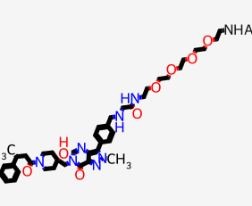 CC(=O)NCCOCCOCCOCCOCCNC(=O)CNCc1ccc(-c2c3ncn(CC4(O)CCN(C(=O)CC(C)c5ccccc5)CC4)c(=O)c3nn2C)cc1